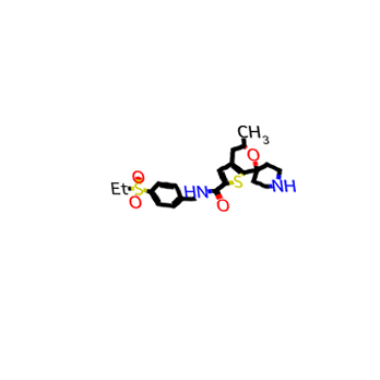 CCS(=O)(=O)c1ccc(CNC(=O)c2cc3c(s2)C2(CCNCC2)OC(C)C3)cc1